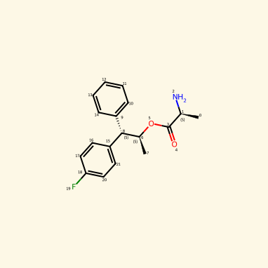 C[C@H](N)C(=O)O[C@@H](C)[C@@H](c1ccccc1)c1ccc(F)cc1